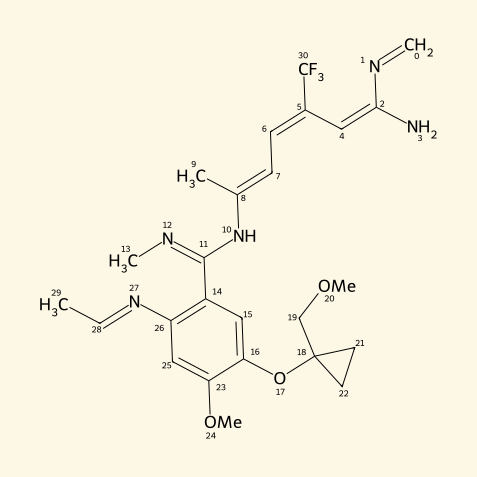 C=N\C(N)=C/C(=C\C=C(/C)N/C(=N/C)c1cc(OC2(COC)CC2)c(OC)cc1/N=C/C)C(F)(F)F